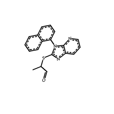 CC(C=O)Sc1nc2cccnc2n1-c1cccc2ccccc12